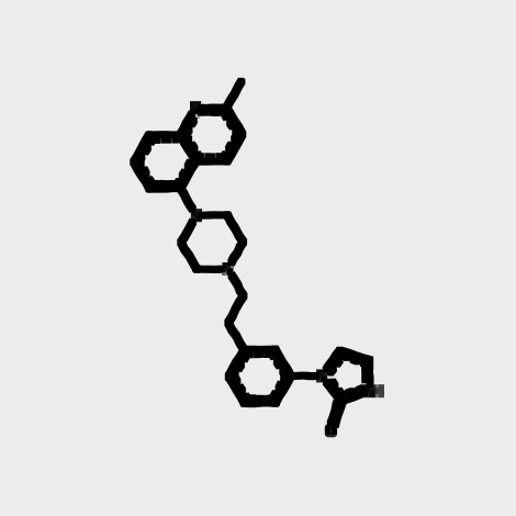 Cc1ccc2c(N3CCN(CCc4cccc(-n5cc[nH]c5=O)c4)CC3)cccc2n1